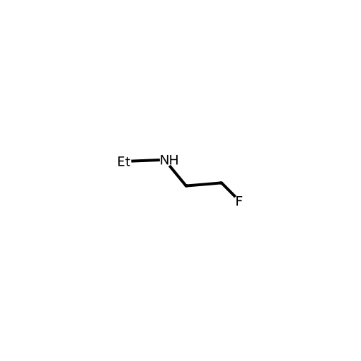 CCNCCF